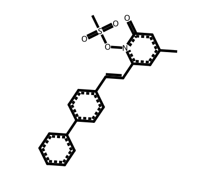 Cc1cc(/C=C/c2ccc(-c3ccccc3)cc2)n(OS(C)(=O)=O)c(=O)c1